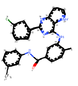 Cc1ccc(C(=O)Nc2cccc(C(F)(F)F)c2)cc1Nc1nc(-c2cccc(Cl)c2)nc2cc[nH]c12